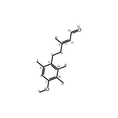 COc1cc(C)c(CC/C(C)=C/C=O)c(C)c1C